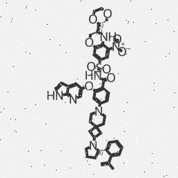 C=C(C)c1ccccc1[C@@H]1CCCN1C1CC2(CCN(c3ccc(C(=O)NS(=O)(=O)c4cc5c(c([N+](=O)[O-])c4)N[C@H]([C@H]4COCCO4)CO5)c(Oc4cnc5[nH]ccc5c4)c3)CC2)C1